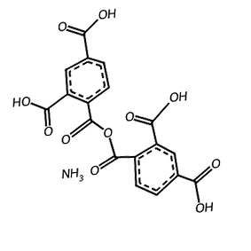 N.O=C(O)c1ccc(C(=O)OC(=O)c2ccc(C(=O)O)cc2C(=O)O)c(C(=O)O)c1